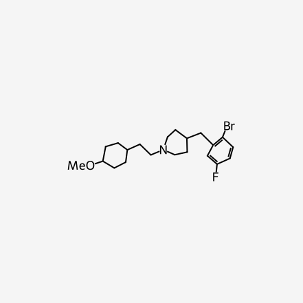 COC1CCC(CCN2CCC(Cc3cc(F)ccc3Br)CC2)CC1